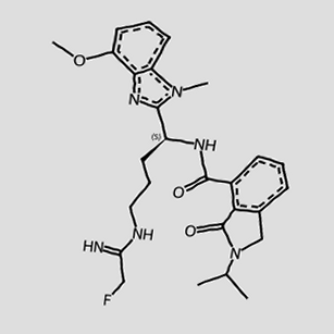 COc1cccc2c1nc([C@H](CCCNC(=N)CF)NC(=O)c1cccc3c1C(=O)N(C(C)C)C3)n2C